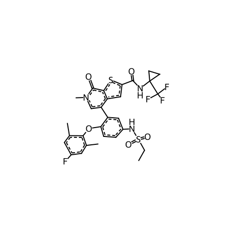 CCS(=O)(=O)Nc1ccc(Oc2c(C)cc(F)cc2C)c(-c2cn(C)c(=O)c3sc(C(=O)NC4(C(F)(F)F)CC4)cc23)c1